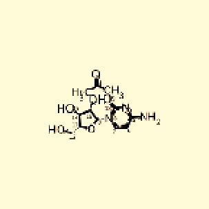 CC(C)=O.Nc1ccn([C@@H]2O[C@H](CO)[C@@H](O)[C@H]2O)c(=O)n1